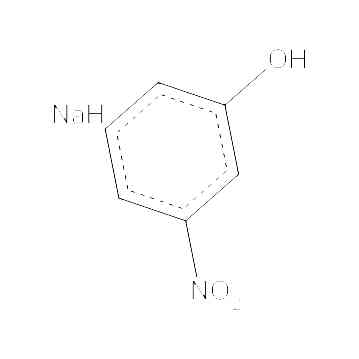 O=[N+]([O-])c1cccc(O)c1.[NaH]